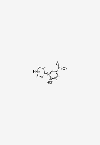 Cl.O=[N+]([O-])c1ccnc(N2CCNCC2)c1